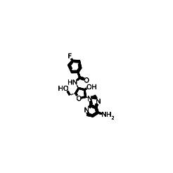 Nc1ccnc2c1ncn2[C@@H]1O[C@H](CO)[C@H](NC(=O)c2ccc(F)cc2)C1O